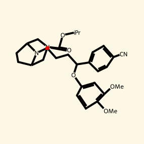 COc1ccc(OC(CCCN2C3CCC2CN(C(=O)OC(C)C)C3)c2ccc(C#N)cc2)cc1OC